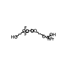 CCCN(CCO)CCOCCCCCCOc1ccc(-c2cc(F)c(OCCCCCCO)c(F)c2)cc1